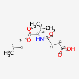 CCCCOC(=O)[C@@H](NC(=O)CCC(=O)O)C(C)C